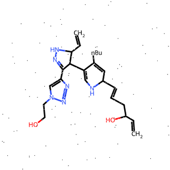 C=CC(O)C/C=C/C1C=C(CCCC)C(C2C(c3cn(CCO)nn3)=NNC2C=C)=CN1